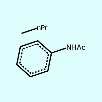 CC(=O)Nc1ccccc1.CCCC